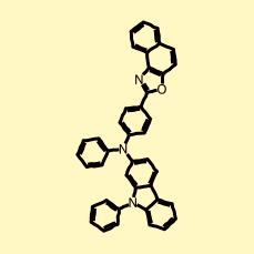 c1ccc(N(c2ccc(-c3nc4c(ccc5ccccc54)o3)cc2)c2ccc3c4ccccc4n(-c4ccccc4)c3c2)cc1